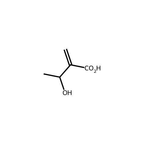 C=C(C(=O)O)C(C)O